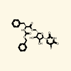 O=C(N[C@@H](Cc1ccccc1)C(=O)OC[C@@H]1O[C@H](n2cc(F)c(=O)[nH]c2=O)C(O)C1O)OCc1ccccc1